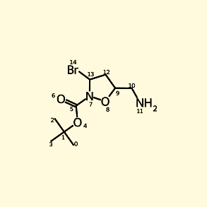 CC(C)(C)OC(=O)N1OC(CN)CC1Br